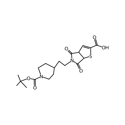 CC(C)(C)OC(=O)N1CCC(CCN2C(=O)C3C=C(C(=O)O)SC3C2=O)CC1